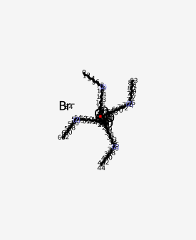 CCCCCCCC/C=C\CCCCCCCC(=O)OC(C)C(C[N+](C)(C(=O)CCCCCCC/C=C\CCCCCCCC)C(=O)CCCCCCC/C=C\CCCCCCCC)OC(=O)CCCCCCC/C=C\CCCCCCCC.[Br-]